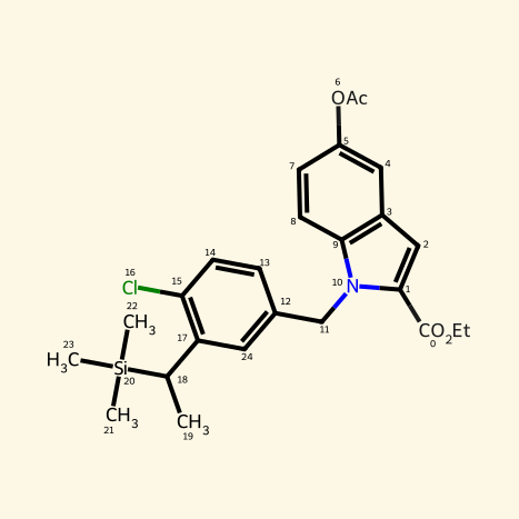 CCOC(=O)c1cc2cc(OC(C)=O)ccc2n1Cc1ccc(Cl)c(C(C)[Si](C)(C)C)c1